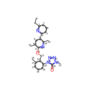 CCc1cccc(-c2cc(C)c(OCc3c(C)cccc3-n3nnn(C)c3=O)nc2C)n1